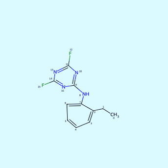 CCc1ccccc1Nc1nc(F)nc(F)n1